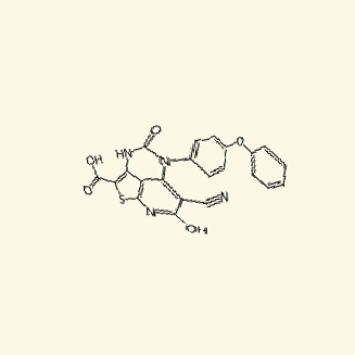 N#Cc1c(O)nc2sc(C(=O)O)c3c2c1N(c1ccc(Oc2ccccc2)cc1)C(=O)N3